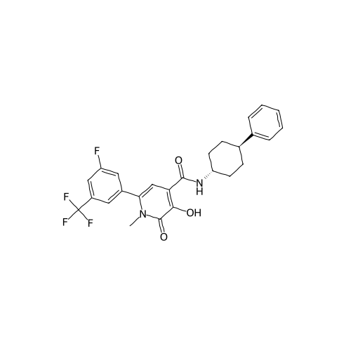 Cn1c(-c2cc(F)cc(C(F)(F)F)c2)cc(C(=O)N[C@H]2CC[C@H](c3ccccc3)CC2)c(O)c1=O